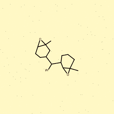 CC(C)C(C1CCC2OC2(C)C1)C1CCCC2(C)OC12